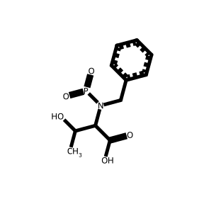 CC(O)C(C(=O)O)N(Cc1ccccc1)P(=O)=O